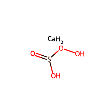 O=S(O)OO.[CaH2]